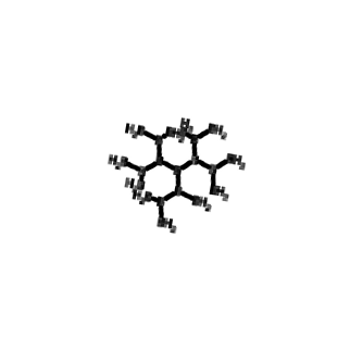 BB(B)B(B)B(B(B(B)B)B(B)B)B(B(B)B)B(B)B